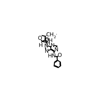 [CH2][C@]12CO[C@@H]([C@H](n3cnc4c(NC(=O)c5ccccc5)ncnc43)O1)[C@@H]2O